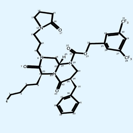 NCCCC[C@H]1C(=O)N(CCCN2CCCC2=O)C[C@@H]2N(C(=O)OCc3cc(C(F)(F)F)cc(C(F)(F)F)c3)C[C@@H](Cc3ccccc3)C(=O)N21